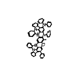 Cc1c2c(cc3c1N(c1cccnc1)c1cc(N(c4ccccc4)c4ccccc4)c4c5ccccc5n5c4c1B3c1ccccc1-5)B1c3ccccc3-n3c4ccccc4c4c(-c5ccccc5)cc(c1c43)O2